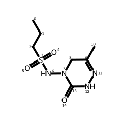 CCCS(=O)(=O)NN1CC(C)=NNC1=O